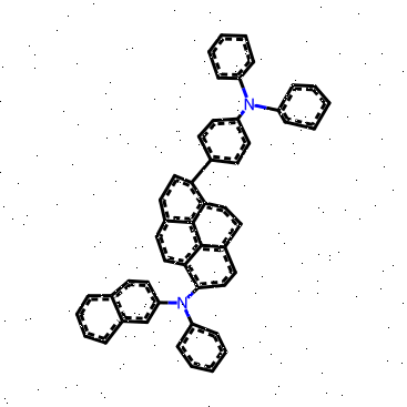 c1ccc(N(c2ccccc2)c2ccc(-c3ccc4ccc5c(N(c6ccccc6)c6ccc7ccccc7c6)ccc6ccc3c4c65)cc2)cc1